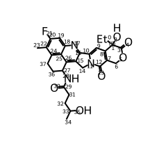 CC[C@@]1(O)C(=O)OCc2c1cc1n(c2=O)Cc2c-1nc1cc(F)c(C)c3c1c2C(NC(=O)CCC(C)O)CC3